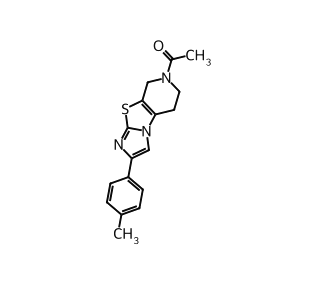 CC(=O)N1CCc2c(sc3nc(-c4ccc(C)cc4)cn23)C1